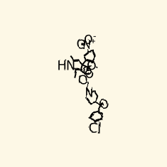 COC(=O)C1(c2cccc([N+](=O)[O-])c2)C=C(C)NC(C)=C1C(=O)OCCN1CCC(C(=O)c2ccc(Cl)cc2)CC1